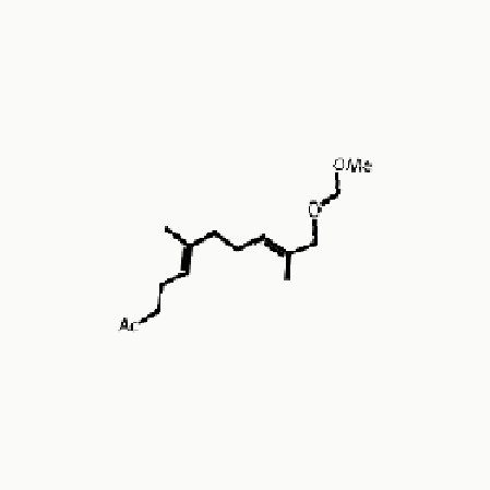 COCOCC(C)=CCCC(C)=CCCC(C)=O